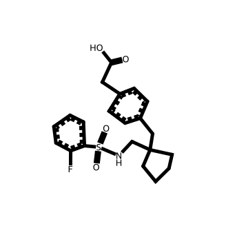 O=C(O)Cc1ccc(CC2(CNS(=O)(=O)c3ccccc3F)CCCC2)cc1